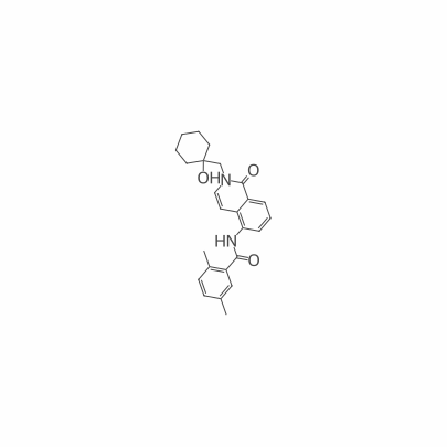 Cc1ccc(C)c(C(=O)Nc2cccc3c(=O)n(CC4(O)CCCCC4)ccc23)c1